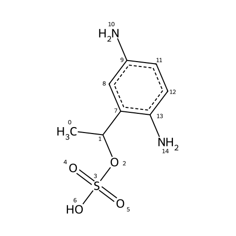 CC(OS(=O)(=O)O)c1cc(N)ccc1N